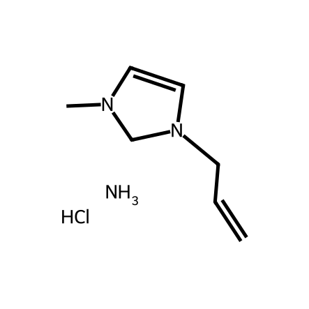 C=CCN1C=CN(C)C1.Cl.N